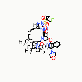 CC[C@@H]1C[C@@H](C)CCC=C[C@@H]2C[C@@]2(C(=O)NS(=O)(=O)C2(CF)CC2)NC(=O)[C@@H]2C[C@@H](Oc3ncc(N4CCOCC4)c4ccccc34)CN2C(=O)[C@H]1N(C(=O)O)C(C)(C)C(F)(F)F